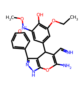 CCOc1cc(C2C(C=N)=C(N)Oc3[nH]nc(-c4ccccc4)c32)cc([N+](=O)OC)c1O